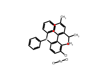 Cc1ccc(-c2c(P(c3ccccc3)c3ccccc3)ccc(Cl)c2Cl)c(C(C)C)c1.[Cl][Ru][Cl]